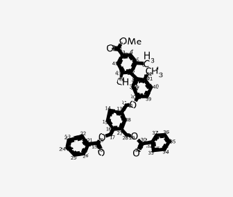 COC(=O)c1cc(C)c(-c2cc(OCc3ccc(COC(=O)c4ccccc4)c(COC(=O)c4ccccc4)c3)ccc2C)c(C)c1